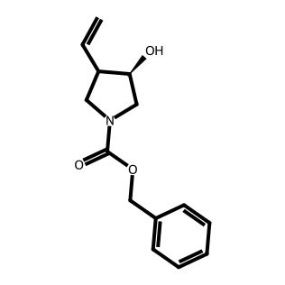 C=CC1CN(C(=O)OCc2ccccc2)C[C@@H]1O